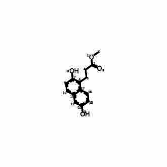 COC(=O)CCc1c(O)ccc2cc(O)ccc12